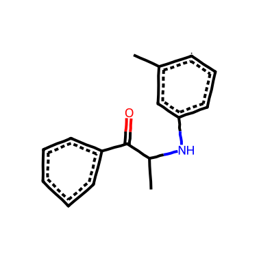 Cc1[c]ccc(NC(C)C(=O)c2ccccc2)c1